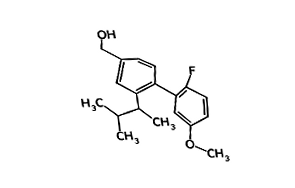 COc1ccc(F)c(-c2ccc(CO)cc2C(C)C(C)C)c1